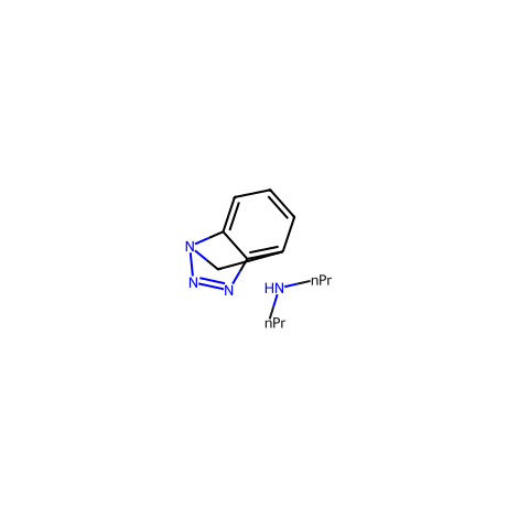 CCCNCCC.c1cc2c3nnn(c3c1)C2